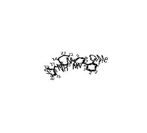 COc1ccccc1-c1ccc(N2CCCC(NCc3ccsc3)C2)nn1